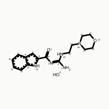 Cl.NC(=NC(=O)c1cc2ccccc2[nH]1)NCCN1CCOCC1